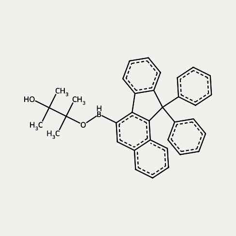 CC(C)(O)C(C)(C)OBc1cc2ccccc2c2c1-c1ccccc1C2(c1ccccc1)c1ccccc1